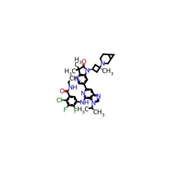 CCNC(=O)c1cc(Nc2nc(-c3cnc4c(c3)N([C@H]3C[C@@](C)(N5CCC6CC6C5)C3)C(=O)C4(C)C)cc3ncn(C(C)C)c23)c(F)c(F)c1Cl